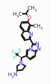 Cc1c(OC(C)C)ccc2ccc(-c3nnc4ccc([C@@H](N5CC[C@H](N)C5)C(F)(F)F)cn34)nc12